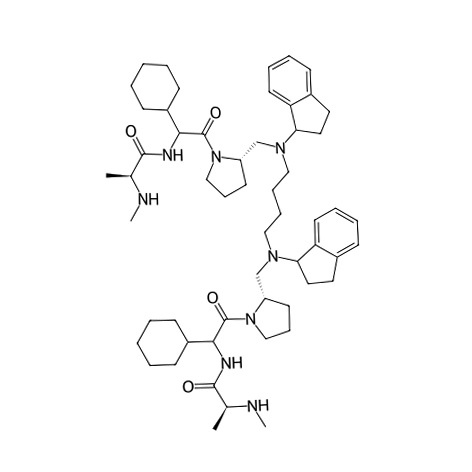 CN[C@@H](C)C(=O)NC(C(=O)N1CCC[C@H]1CN(CCCCN(C[C@@H]1CCCN1C(=O)C(NC(=O)[C@H](C)NC)C1CCCCC1)C1CCc2ccccc21)C1CCc2ccccc21)C1CCCCC1